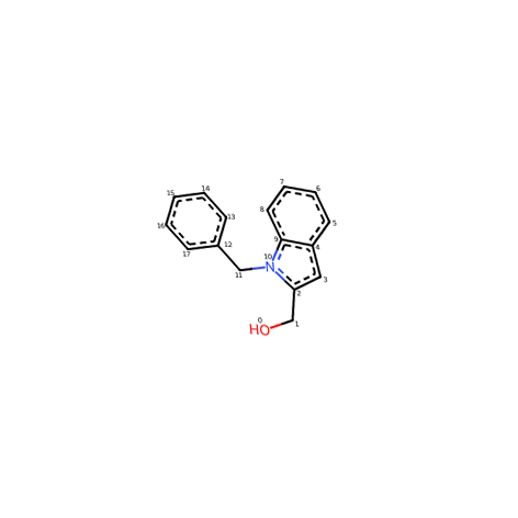 OCc1cc2ccccc2n1Cc1ccccc1